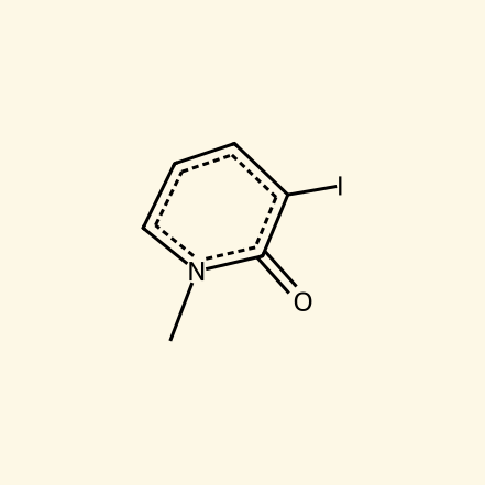 Cn1cccc(I)c1=O